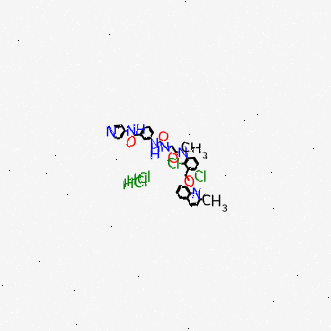 Cc1ccc2cccc(OCc3c(Cl)ccc(N(C)C(=O)CNC(=O)Nc4cccc(C(=O)Nc5ccncc5)c4)c3Cl)c2n1.Cl.Cl